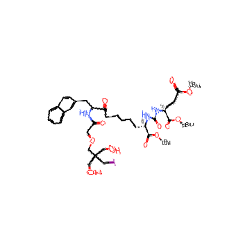 CC(C)(C)OC(=O)CC[C@H](NC(=O)N[C@@H](CCCCCC(=O)C(Cc1ccc2ccccc2c1)NC(=O)COCC(CO)(CO)CI)C(=O)OC(C)(C)C)C(=O)OC(C)(C)C